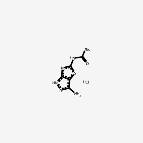 CC(C)(C)C(=O)Nc1nc2[nH]nc(N)c2s1.Cl